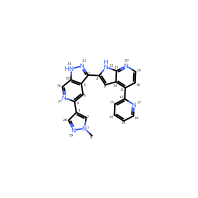 Cn1cc(-c2cc3c(-c4cc5c(-c6ccccn6)ccnc5[nH]4)n[nH]c3cn2)cn1